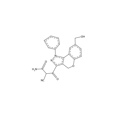 N#CC(C(N)=O)C(=O)c1nn(-c2ccccc2)c2c1COc1ccc(CO)cc1-2